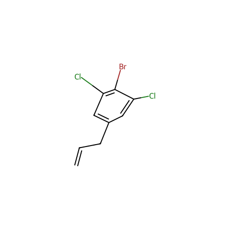 C=CCc1cc(Cl)c(Br)c(Cl)c1